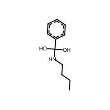 CCCCNC(O)(O)c1ccccc1